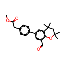 COC(=O)Cc1ccc(-c2cc(C=O)c3c(c2)C(C)(C)CC(C)(C)O3)cc1